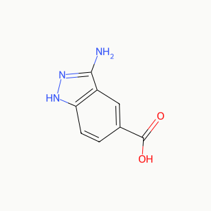 Nc1n[nH]c2ccc(C(=O)O)cc12